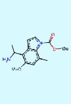 COc1cc(C)c2c(ccn2C(=O)OC(C)(C)C)c1C(C)N